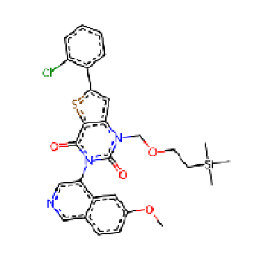 COc1ccc2cncc(-n3c(=O)c4sc(-c5ccccc5Cl)cc4n(COCC[Si](C)(C)C)c3=O)c2c1